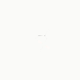 CC(C)C(CC(=O)O)CS(=O)(=O)C(C)C